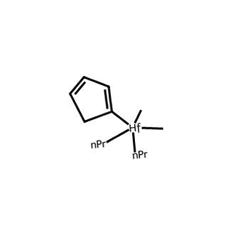 CC[CH2][Hf]([CH3])([CH3])([CH2]CC)[C]1=CC=CC1